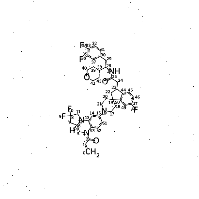 C=CC(=O)N1C[C@@H]2CC(F)(F)CN2c2cc(N3CCC4(CC3)C[C@@H](CC(=O)N[C@H](Cc3ccc(F)c(F)c3)C3CCOCC3)c3ccc(F)cc34)ccc21